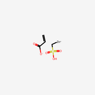 C=CC(=O)[O-].O=S(=O)(O)[CH2][Zn+]